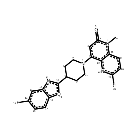 Cn1c(=O)cc(N2CCC(c3nc4cc(F)ccc4o3)CC2)c2nc(Cl)ccc21